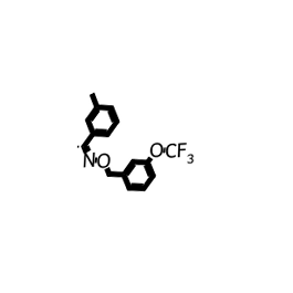 Cc1cccc(/[C]=N\OCc2cccc(OC(F)(F)F)c2)c1